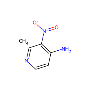 C.Nc1ccncc1[N+](=O)[O-]